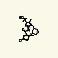 COc1ccc(Cl)cc1C(=O)/N=c1\sc(C(C)(C)O)c(C)n1CC1CCCOC1